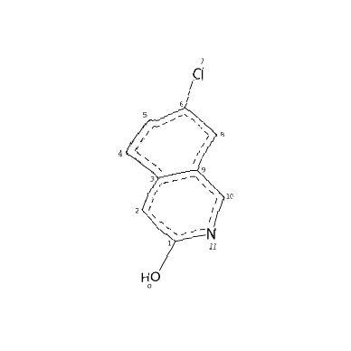 Oc1cc2ccc(Cl)cc2cn1